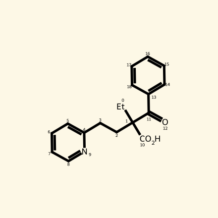 CCC(CCc1ccccn1)(C(=O)O)C(=O)c1ccccc1